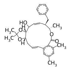 Cc1cc(C)c2c(c1)/C=C/C[C@@H]1OC(C)(C)O[C@@H]1C(O)/C=C\[C@@H](Cc1ccccc1)[C@H](C)OC2=O